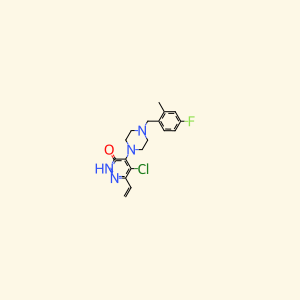 C=Cc1n[nH]c(=O)c(N2CCN(Cc3ccc(F)cc3C)CC2)c1Cl